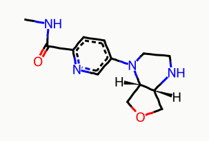 CNC(=O)c1ccc(N2CCN[C@@H]3COC[C@@H]32)cn1